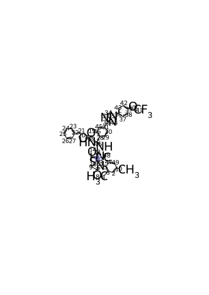 Cc1cc(C)c(N2C(=O)CS/C2=N\C(=O)NC(NC(=O)OCc2ccccc2)c2ccc(-c3ncn(-c4ccc(OC(F)(F)F)cc4)n3)cc2)c(C)c1